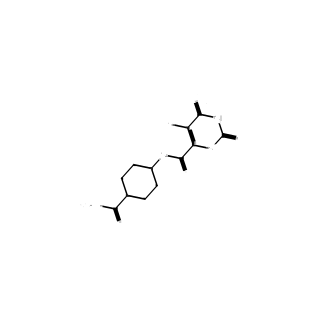 C=C1NC(=O)NC(C(=O)NC2CCC(C(=O)OC)CC2)=C1N